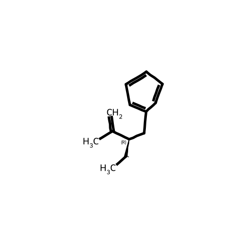 C=C(C)[C@H]([CH]C)Cc1ccccc1